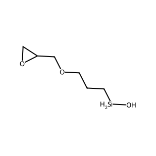 O[SiH2]CCCOCC1CO1